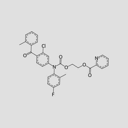 Cc1ccccc1C(=O)c1ccc(N(C(=O)OCCOC(=O)c2ccccn2)c2ccc(F)cc2C)cc1Cl